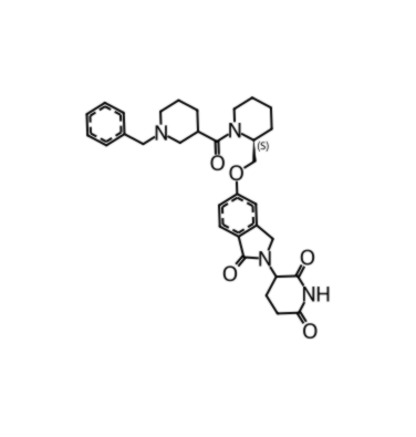 O=C1CCC(N2Cc3cc(OC[C@@H]4CCCCN4C(=O)C4CCCN(Cc5ccccc5)C4)ccc3C2=O)C(=O)N1